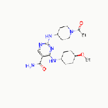 CCO[C@H]1CC[C@H](Nc2nc(NC3CCN(C(=O)CC)CC3)ncc2C(N)=O)CC1